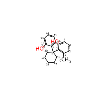 Cc1cccc(O)c1C1(c2ccccc2O)CCCCC1